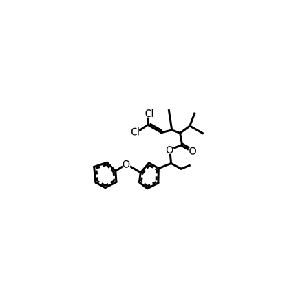 CCC(OC(=O)C(C(C)C)C(C)C=C(Cl)Cl)c1cccc(Oc2ccccc2)c1